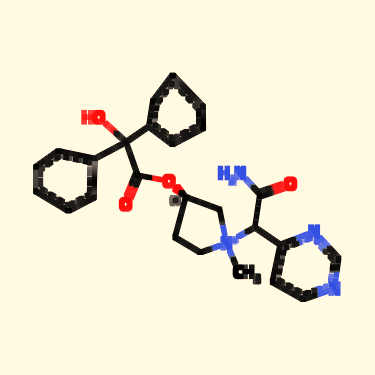 C[N+]1(C(C(N)=O)c2ccncn2)CC[C@@H](OC(=O)C(O)(c2ccccc2)c2ccccc2)C1